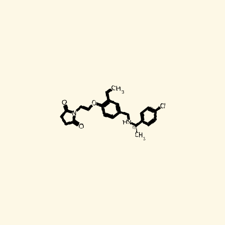 CCc1cc(CN[C@@H](C)c2ccc(Cl)cc2)ccc1OCCN1C(=O)CCC1=O